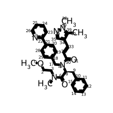 COCCN(C)C(=O)[C@H](Cc1ccccc1)N(Cc1ccc(-c2ccccn2)cc1)C(=O)/C=C/c1cnn(C)c1C